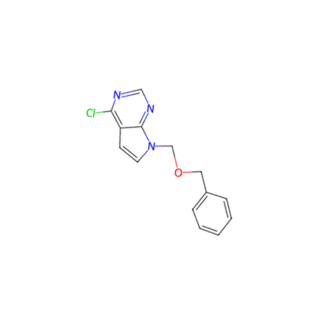 Clc1ncnc2c1ccn2COCc1ccccc1